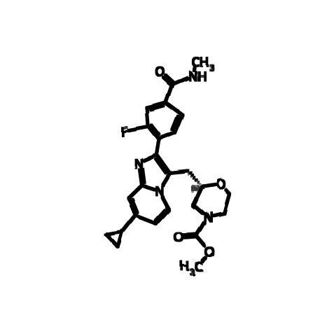 CNC(=O)c1ccc(-c2nc3cc(C4CC4)ccn3c2C[C@H]2CN(C(=O)OC)CCO2)c(F)c1